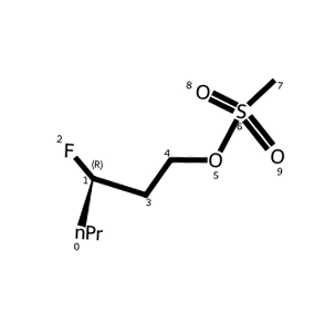 CCC[C@@H](F)CCOS(C)(=O)=O